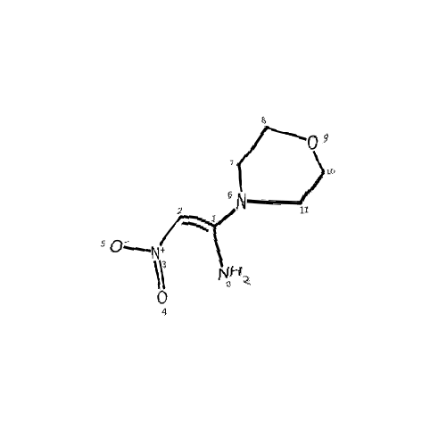 N/C(=C\[N+](=O)[O-])N1CCOCC1